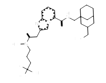 CCC1CC2CCCC(CNC(=O)c3cccc4nc(CC(=O)N(C)CCCC(C)(C)O)cn34)(C1)C2